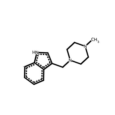 CN1CCN(Cc2c[nH]c3[c]cccc23)CC1